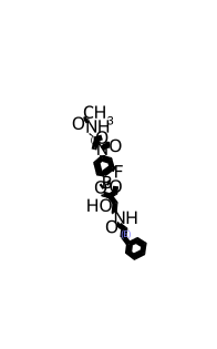 CC(=O)NC[C@H]1CN(c2ccc(B3OCC(O)(CCNC(=O)/C=C/c4ccccc4)CO3)c(F)c2)C(=O)O1